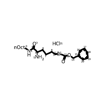 CCCCCCCCNC(=O)[C@@H](N)CCCCNC(=O)OCc1ccccc1.Cl